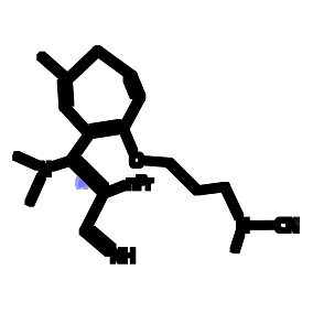 CCC/C(C=N)=C(\C1=C(OCCCN(C)C#N)C=CCC(C)=C1)N(C)C